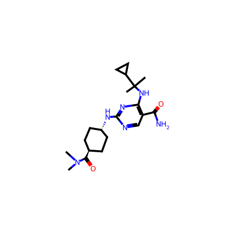 CN(C)C(=O)[C@H]1CC[C@H](Nc2ncc(C(N)=O)c(NC(C)(C)C3CC3)n2)CC1